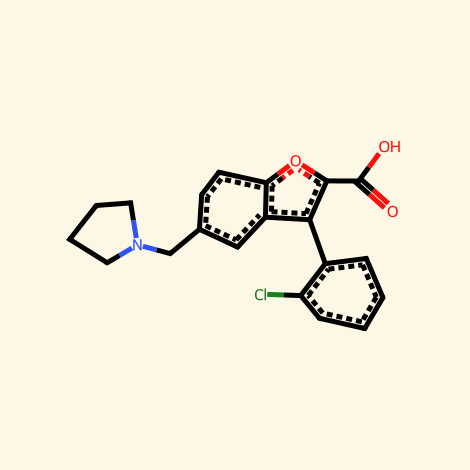 O=C(O)c1oc2ccc(CN3CCCC3)cc2c1-c1ccccc1Cl